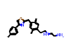 Cc1ccc(-c2csc(Cc3cc(C)c(CCNCCN)cc3C)n2)cc1